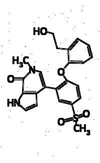 Cn1cc(-c2cc(S(C)(=O)=O)ccc2Oc2ccccc2CCO)c2cc[nH]c2c1=O